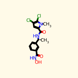 C[C@@H](NC(=O)c1cc(Cl)c(Cl)n1C)c1cccc(C(=O)NO)c1